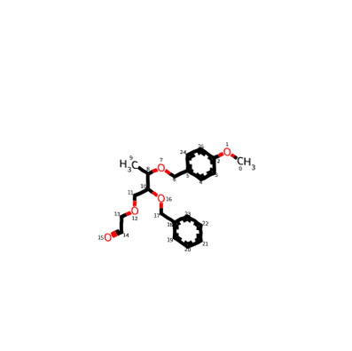 COc1ccc(COC(C)C(COCC=O)OCc2ccccc2)cc1